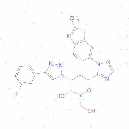 Cc1nc2ccc(-n3ncnc3[C@H]3C[C@@H](n4cc(-c5cccc(F)c5)nn4)[C@@H](O)[C@@H](CO)O3)cc2s1